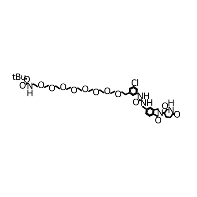 CC(C)(C)OC(=O)NCCOCCOCCOCCOCCOCCOCCOCCOCCc1cc(Cl)cc(NC(=O)NCc2ccc3c(c2)CN(C2CCC(=O)NC2=O)C3=O)c1